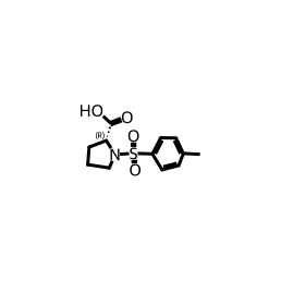 Cc1ccc(S(=O)(=O)N2CCC[C@@H]2C(=O)O)cc1